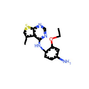 CCOc1cc(N)ccc1Nc1ncnc2scc(C)c12